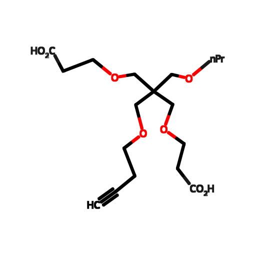 C#CCCOCC(COCCC)(COCCC(=O)O)COCCC(=O)O